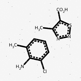 Cc1cccc(Cl)c1N.Cc1nnsc1C(=O)O